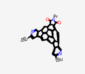 CC(C)n1c(=O)c2c3cc4c5cnc(C(C)(C)C)cc5c5cc6cc7c8cc(C(C)(C)C)ncc8c8cc(c2c1=O)c1c3c(c54)c6c1c78